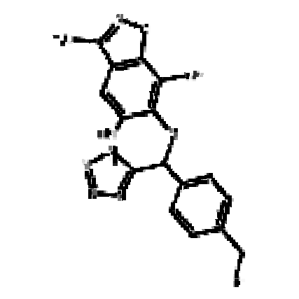 CCCc1cc2c(C(F)(F)F)noc2c(CCC)c1OC(c1ccc(CC(C)C)cc1)c1nnn[nH]1